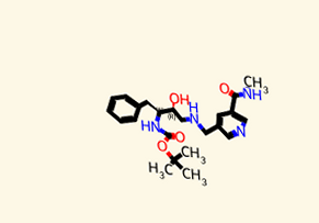 CNC(=O)c1cncc(CNC[C@@H](O)[C@H](Cc2ccccc2)NC(=O)OC(C)(C)C)c1